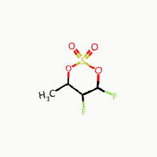 CC1OS(=O)(=O)OC(F)C1F